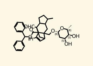 CC(C)C1=CC2CC3(C=O)C4CCC(C)C4CC2(CO[C@H]2C[C@H](O)[C@H](O)[C@@H](C)O2)C13C(=O)OC(c1ccccc1)c1ccccc1